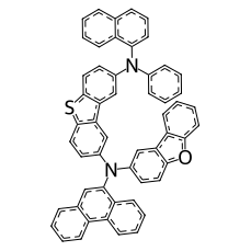 c1ccc(N(c2ccc3sc4ccc(N(c5ccc6oc7ccccc7c6c5)c5cc6ccccc6c6ccccc56)cc4c3c2)c2cccc3ccccc23)cc1